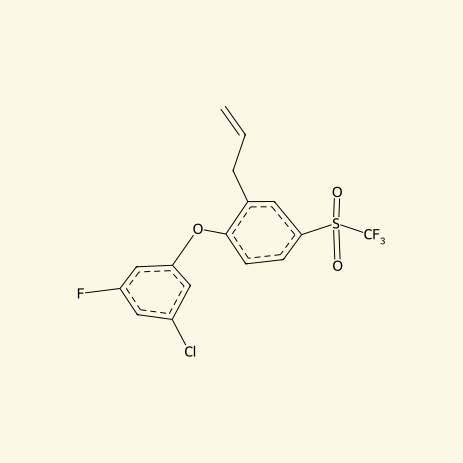 C=CCc1cc(S(=O)(=O)C(F)(F)F)ccc1Oc1cc(F)cc(Cl)c1